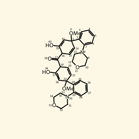 COC1(c2ccccc2N2CCOCC2)C=CC(C(=O)C2C=CC(OC)(c3ccccc3N3CCOCC3)C=C2O)C(O)=C1